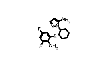 Nc1c(F)cc(F)cc1Br.Nc1ccnn1C1CCCCC1